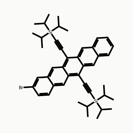 CC(C)[Si](C#Cc1c2cc3ccccc3cc2c(C#C[Si](C(C)C)(C(C)C)C(C)C)c2cc3cc(Br)ccc3cc12)(C(C)C)C(C)C